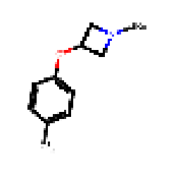 CC(C)(C)N1CC(Oc2ccc(C(F)(F)F)cc2)C1